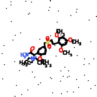 CC[N+](CC)(CC)C(C(N)=O)c1cc(CS(=O)(=O)C=Cc2c(OC)cc(OC)cc2OC)ccc1OC